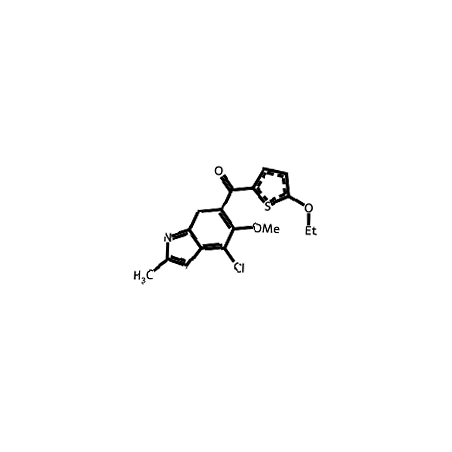 CCOc1ccc(C(=O)C2=C(OC)C(Cl)=C3[C]=C(C)N=C3C2)s1